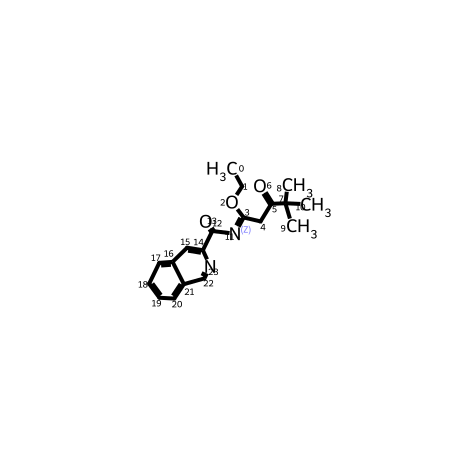 CCO/C(CC(=O)C(C)(C)C)=N\C(=O)c1cc2ccccc2cn1